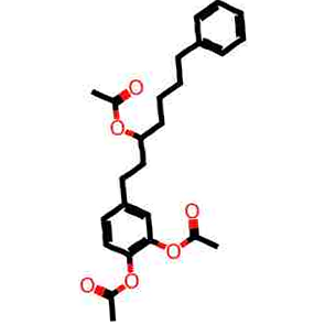 CC(=O)Oc1ccc(CCC(CCCCc2ccccc2)OC(C)=O)cc1OC(C)=O